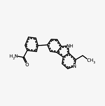 CCc1nccc2c1[nH]c1ccc(-c3cccc(C(N)=O)c3)cc12